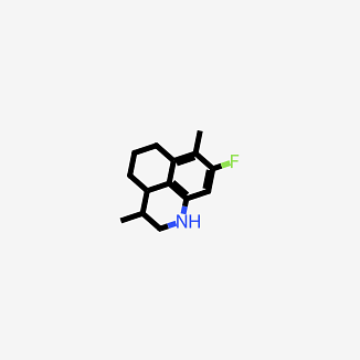 Cc1c(F)cc2c3c1CCCC3C(C)CN2